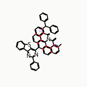 C=C(/C(=C\C)c1ccccc1)N(C(=C)/C(=C\C(c1ccccc1)c1ccccc1)c1ccccc1)c1c(-c2ccccc2)cc(-c2nc(-c3ccccc3)nc3c2sc2ccccc23)cc1-c1ccccc1